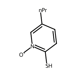 CCCc1ccc(S)[n+]([O-])c1